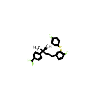 C#CC(C)(CCCc1ccc(F)c(Sc2ccc(F)cc2)c1)c1ccc(C(F)F)cc1